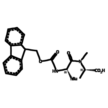 CCCC[C@H](NC(=O)OCC1c2ccccc2-c2ccccc21)C(=O)N(C)[C@@H](C)C(=O)O